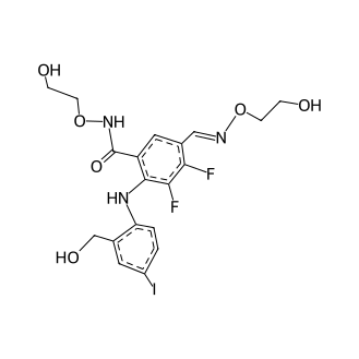 O=C(NOCCO)c1cc(C=NOCCO)c(F)c(F)c1Nc1ccc(I)cc1CO